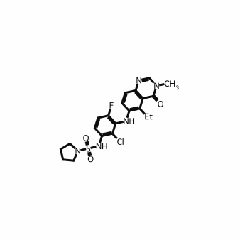 CCc1c(Nc2c(F)ccc(NS(=O)(=O)N3CCCC3)c2Cl)ccc2ncn(C)c(=O)c12